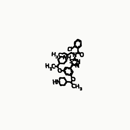 CCCCN(C(=O)c1ccccc1Cl)c1nnc(-c2cc(OC(C)C3CCNCC3)cc(OC(C)C3CCNCC3)c2)s1